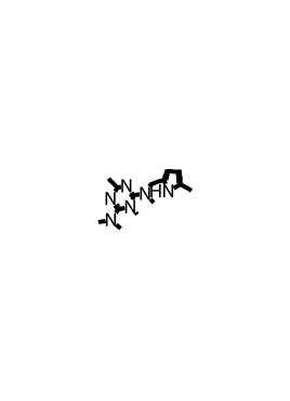 Cc1ccc(CN(C)C2=NC(C)N=C(N(C)C)N2C)[nH]1